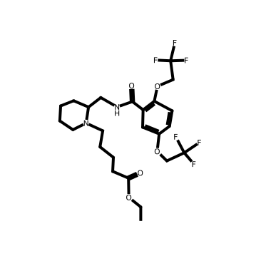 CCOC(=O)CCCCN1CCCCC1CNC(=O)c1cc(OCC(F)(F)F)ccc1OCC(F)(F)F